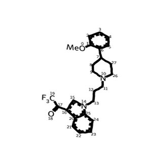 COc1ccccc1C1CCN(CCCn2cc(C(=O)C(F)(F)F)c3ccccc32)CC1